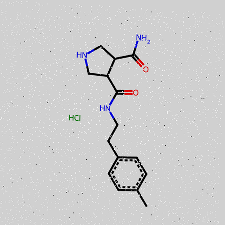 Cc1ccc(CCNC(=O)C2CNCC2C(N)=O)cc1.Cl